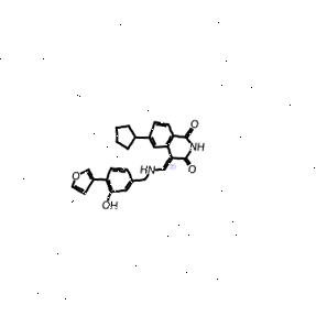 O=C1NC(=O)c2ccc(C3CCCC3)cc2/C1=C\NCc1ccc(-c2ccoc2)c(O)c1